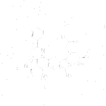 CCCCC1=C(C(=O)N(C(C)=O)C(C)(C)C)C(=O)N(N(C(C)=O)C(=O)c2ccccc2)C(=O)/C1=C\c1sc(N(CC(CC)CCCC)C[C@@H](CC)CCCC)nc1C(C)(C)C